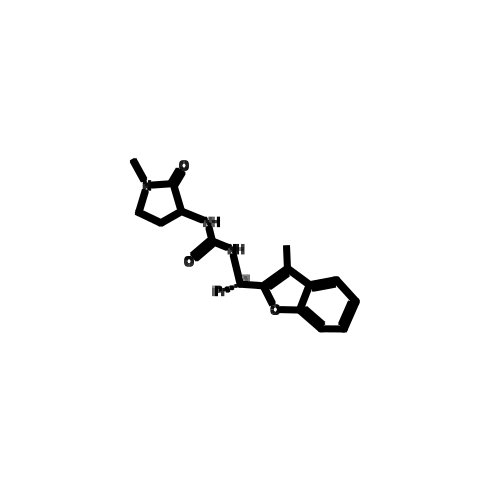 Cc1c([C@@H](NC(=O)NC2CCN(C)C2=O)C(C)C)oc2ccccc12